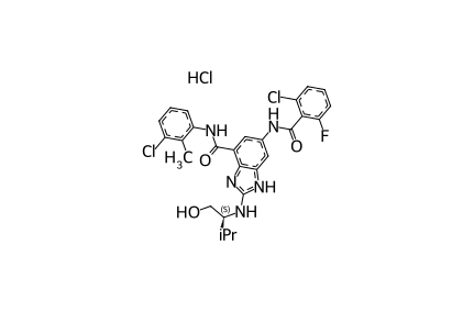 Cc1c(Cl)cccc1NC(=O)c1cc(NC(=O)c2c(F)cccc2Cl)cc2[nH]c(N[C@H](CO)C(C)C)nc12.Cl